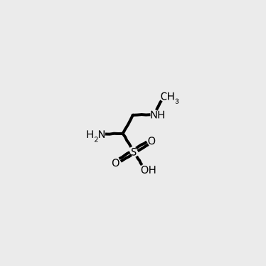 CNCC(N)S(=O)(=O)O